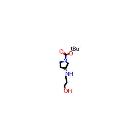 CC(C)(C)OC(=O)N1CC[C@@H](NCCCO)C1